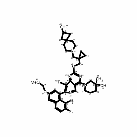 CCc1c(F)ccc2cc(OCOC)cc(-c3ncc4c(N5CCC[C@@](C)(O)C5)nc(OCC5(CN6CCC7(CC6)CC(C=O)C7)CC5)nc4c3F)c12